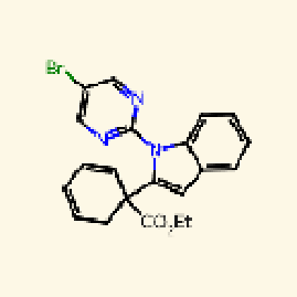 CCOC(=O)C1(c2cc3ccccc3n2-c2ncc(Br)cn2)C=CC=CC1